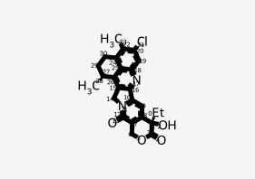 CC[C@@]1(O)C(=O)OCc2c1cc1n(c2=O)Cc2c-1nc1cc(Cl)c(C)c3c1c2[C@@H](C)CC3